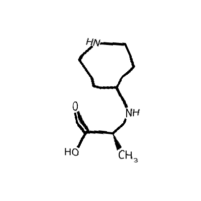 C[C@H](NC1CCNCC1)C(=O)O